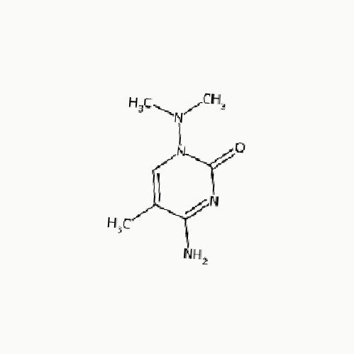 Cc1cn(N(C)C)c(=O)nc1N